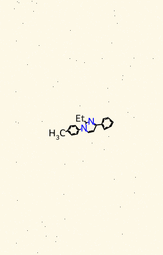 CCC1N=C(c2ccccc2)C=CN1c1ccc(C)cc1